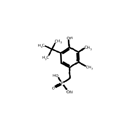 Cc1c(CP(=O)(O)O)cc(C(C)(C)C)c(O)c1C